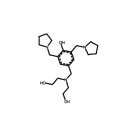 OCCN(CCO)Cc1cc(CN2CCCC2)c(O)c(CN2CCCC2)c1